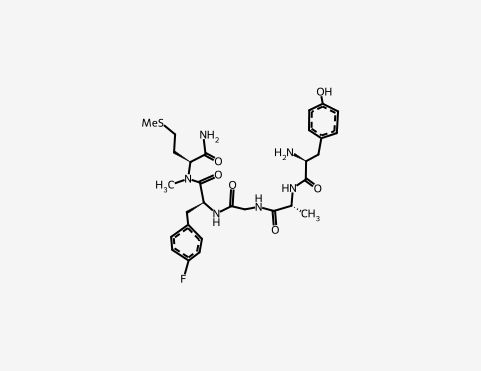 CSCC[C@@H](C(N)=O)N(C)C(=O)[C@H](Cc1ccc(F)cc1)NC(=O)CNC(=O)[C@@H](C)NC(=O)[C@@H](N)Cc1ccc(O)cc1